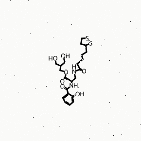 O=C(CCCCC1CCSS1)NCC(NC(=O)c1ccccc1O)C(=O)OCC(CO)CO